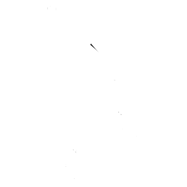 CC(C)(C)c1ccc([C@H]2CCC3(CCN(C(=O)C4CC5(COC(=O)N5)C4)CC3)C2)cc1